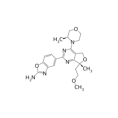 COCC[C@@]1(C)OCc2c(N3CCOC[C@@H]3C)nc(-c3ccc4oc(N)nc4c3)nc21